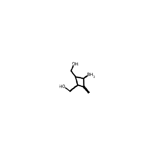 BC1C(=C)C(CO)C1CO